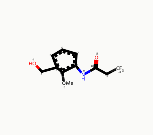 COc1c(CO)cccc1NC(=O)CC(F)(F)F